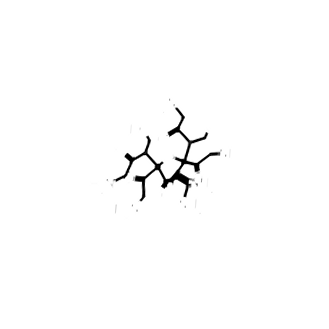 CCC(C(=O)CN)C(OC(C(=O)CN)(C(=O)CN)C(CC)C(=O)CN)(C(=O)CN)C(=O)CN